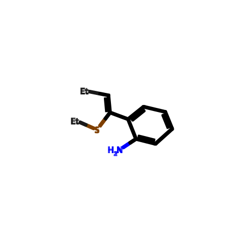 CC/C=C(\SCC)c1ccccc1N